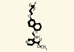 COC(=O)c1ccncc1NC[C@H]1CCCc2cc(OCCC(F)(F)F)ccc21